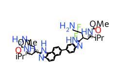 COC(=O)N[C@H](CC(CC(F)(F)CN)c1nc2ccc(-c3ccc4c(ccc5nc([C@H](CCCN)C[C@@H](NC(=O)OC)C(C)C)[nH]c54)c3)cc2[nH]1)C(C)C